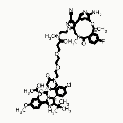 COc1ccc(C2=NC(C(C)(C)C)[C@H](c3ccc(Cl)cc3)N2C(=O)N2CCN(CCOCCOCCC(=O)N(C)CCn3nc(C#N)c4c3CN(C)C(=O)c3ccc(F)cc3[C@@H](C)Oc3cc-4cnc3N)C(=O)C2)c(OC(C)C)c1